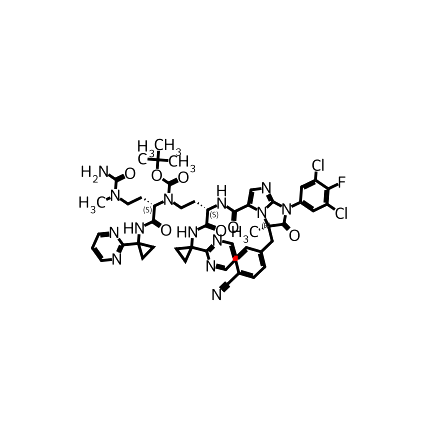 CN(CC[C@@H](C(=O)NC1(c2ncccn2)CC1)N(CC[C@H](NC(=O)c1cnc2n1[C@](C)(Cc1ccc(C#N)cc1)C(=O)N2c1cc(Cl)c(F)c(Cl)c1)C(=O)NC1(c2ncccn2)CC1)C(=O)OC(C)(C)C)C(N)=O